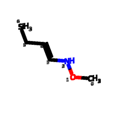 CONC=CC[SiH3]